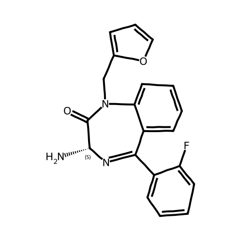 N[C@H]1N=C(c2ccccc2F)c2ccccc2N(Cc2ccco2)C1=O